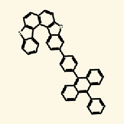 c1ccc(-c2c3ccccc3c(-c3ccc(-c4ccc5c(c4)oc4ccc6ccc7sc8ccccc8c7c6c45)cc3)c3ccccc23)cc1